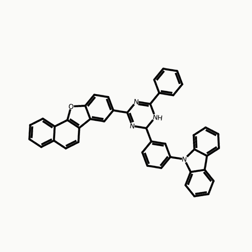 c1ccc(C2=NC(c3ccc4oc5c6ccccc6ccc5c4c3)=NC(c3cccc(-n4c5ccccc5c5ccccc54)c3)N2)cc1